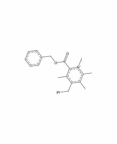 Cc1c(CC(C)C)c(C)c(C(=O)OCc2ccccc2)[n+](I)c1C